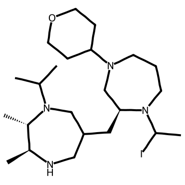 CC(I)N1CCCN(C2CCOCC2)C[C@@H]1CC1CN[C@@H](C)[C@H](C)N(C(C)C)C1